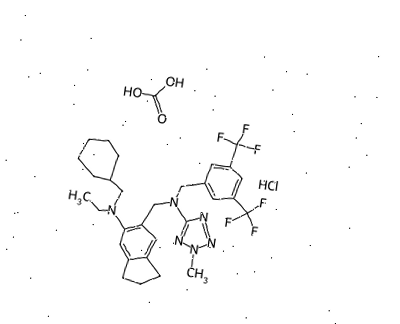 CCN(CC1CCCCC1)c1cc2c(cc1CN(Cc1cc(C(F)(F)F)cc(C(F)(F)F)c1)c1nnn(C)n1)CCC2.Cl.O=C(O)O